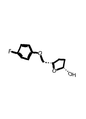 O[C@H]1CC[C@@H](COc2ccc(F)cc2)O1